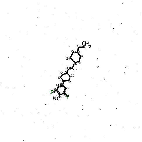 C=CCC1CCC(C=CC2CCC(c3cc(F)c(C#N)c(F)c3)CC2)CC1